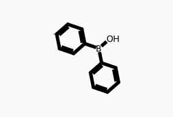 OB(c1cc[c]cc1)c1ccccc1